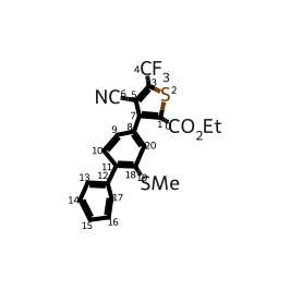 CCOC(=O)c1sc(C(F)(F)F)c(C#N)c1-c1ccc(-c2ccccc2)c(SC)c1